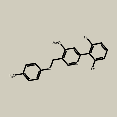 CCc1cccc(CC)c1-c1cc(OC)c(COc2ccc(C(F)(F)F)cc2)cn1